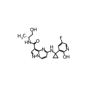 C[C@H](CO)NC(=O)c1cnn2ccc(NC3(c4cc(F)cnc4O)CC3)nc12